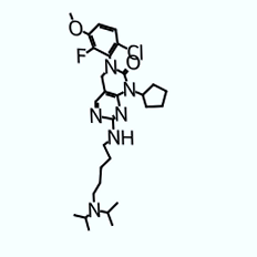 COc1ccc(Cl)c(N2Cc3cnc(NCCCCCN(C(C)C)C(C)C)nc3N(C3CCCC3)C2=O)c1F